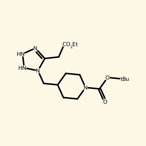 CCOC(=O)CC1=NNNN1CC1CCN(C(=O)OC(C)(C)C)CC1